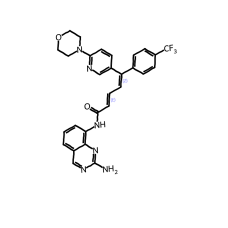 Nc1ncc2cccc(NC(=O)/C=C/C=C(/c3ccc(C(F)(F)F)cc3)c3ccc(N4CCOCC4)nc3)c2n1